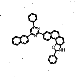 c1ccc(-c2cc(-c3ccc4ccccc4c3)nc(-c3ccc4c(ccc5ccc6c(c54)OC(c4ccccc4)N6)c3)n2)cc1